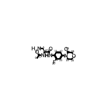 CC(=O)N[C@@H](CN)C(=O)Nc1ccc(N2CCOCC2=O)cc1F